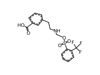 O=C(O)c1cccc(CCNCOS(=O)(=O)c2ccccc2C(F)(F)F)c1